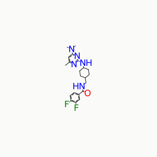 Cc1cc(N(C)C)nc(NC2CCC(CNC(=O)c3ccc(F)c(F)c3)CC2)n1